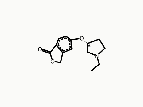 CCN1CC[C@@H](Oc2ccc3c(c2)COC3=O)C1